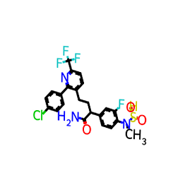 CN(c1ccc(C(CCc2ccc(C(F)(F)F)nc2-c2ccc(Cl)cc2)C(N)=O)cc1F)[SH](=O)=O